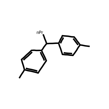 [CH2]CCC(c1ccc(C)cc1)c1ccc(C)cc1